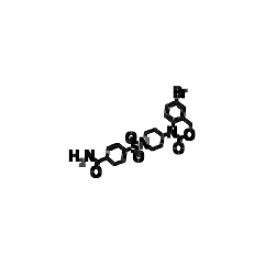 NC(=O)C1C=CC(S(=O)(=O)N2CCC(N3C(=O)OCc4cc(Br)ccc43)CC2)=CC1